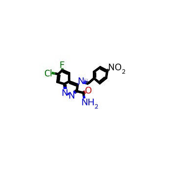 NC(=O)c1nnc2cc(Cl)c(F)cc2c1/N=C/c1ccc([N+](=O)[O-])cc1